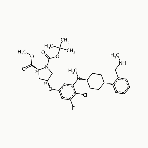 CNCc1ccccc1[C@H]1CC[C@H](N(C)c2cc(O[C@H]3C[C@@H](C(=O)OC)N(C(=O)OC(C)(C)C)C3)cc(F)c2Cl)CC1